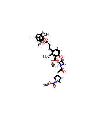 Cc1c(CCB2O[C@@H]3C[C@@H]4C[C@@H](C4(C)C)[C@]3(C)O2)ccc(OC2CN(C(=O)C[C@H]3CCN(C(=O)OC(C)(C)C)C3)C2)c1C(=O)OC(C)(C)C